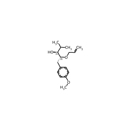 C=CCO[C@H](Cc1ccc(OC)cc1)[C@@H](O)C(C)C